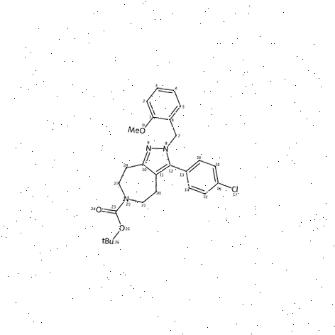 COc1ccccc1Cn1nc2c(c1-c1ccc(Cl)cc1)CCN(C(=O)OC(C)(C)C)CC2